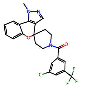 Cn1ncc2c1-c1ccccc1OC21CCN(C(=O)c2cc(Cl)cc(C(F)(F)F)c2)CC1